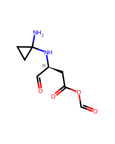 NC1(N[C@H](C=O)CC(=O)OC=O)CC1